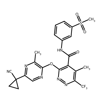 Cc1nc(C2(C#N)CC2)cnc1Oc1nnc(C(F)(F)F)c(C)c1C(=O)Nc1cccc(S(C)(=O)=O)c1